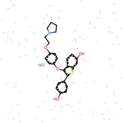 Cl.Oc1ccc(-c2sc3cc(O)ccc3c2Oc2ccc(OCCN3CCCC3)cc2)cc1